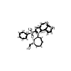 O=CN1CCCCC(n2c(S(=O)(=O)c3ccccc3)nc3cnc4[nH]ccc4c32)C1